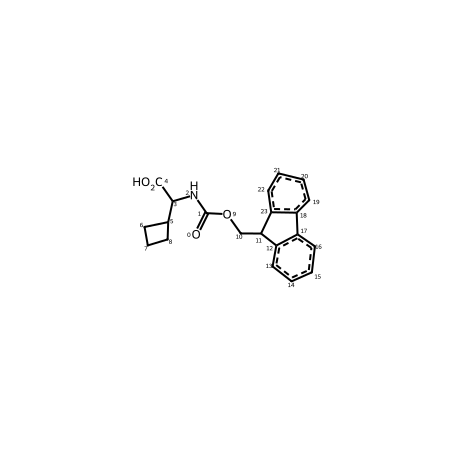 O=C(NC(C(=O)O)C1CCC1)OCC1c2ccccc2-c2ccccc21